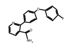 NC(=O)c1cccnc1-c1ccc(Oc2ccc(F)cc2)cc1